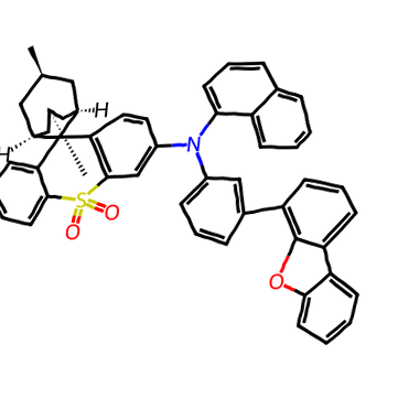 C[C@H]1C[C@@H]2C[C@@H](C)C[C@H](C1)C21c2ccccc2S(=O)(=O)c2cc(N(c3cccc(-c4cccc5c4oc4ccccc45)c3)c3cccc4ccccc34)ccc21